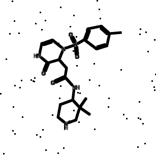 Cc1ccc(S(=O)(=O)N2C=CNC(=O)C2CC(=O)NC2CCNCC2(C)C)cc1